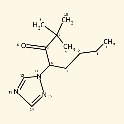 CCCCC(C(=O)C(C)(C)C)n1cncn1